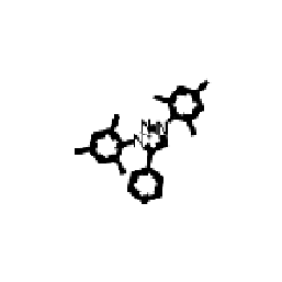 Cc1cc(C)c(-n2cc(-c3ccccc3)[n+](-c3c(C)cc(C)cc3C)n2)c(C)c1